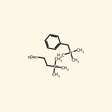 CCCCCCCCCCCC[N+](C)(C)C.C[N+](C)(C)Cc1ccccc1